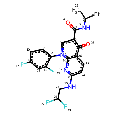 CCC(NC(=O)c1cn(-c2ccc(F)cc2F)c2nc(NCC(F)F)ccc2c1=O)C(F)(F)F